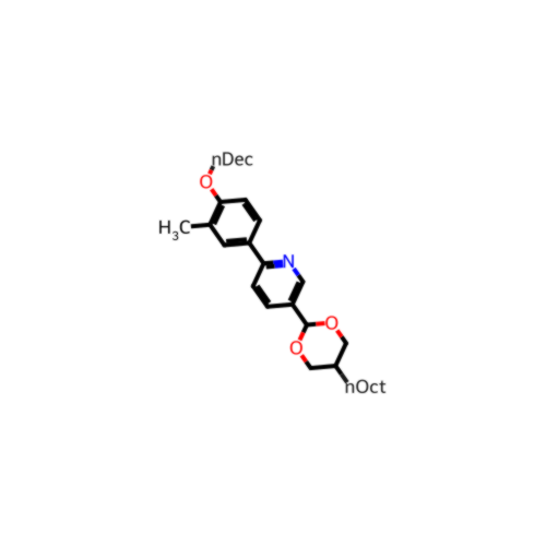 CCCCCCCCCCOc1ccc(-c2ccc(C3OCC(CCCCCCCC)CO3)cn2)cc1C